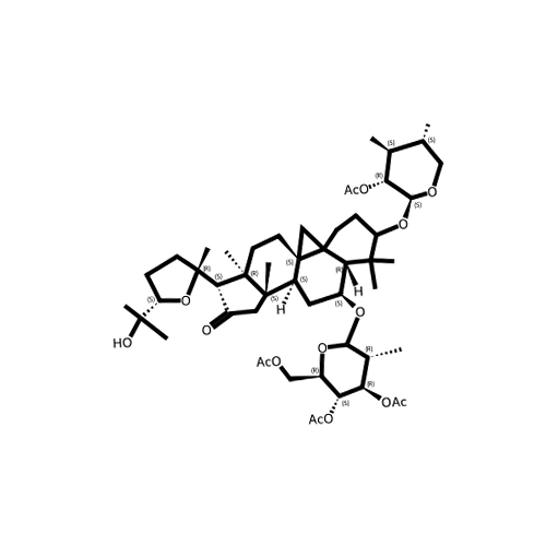 CC(=O)OC[C@H]1OC(O[C@H]2C[C@@H]3[C@]4(CC[C@]5(C)[C@@H]([C@@]6(C)CC[C@@H](C(C)(C)O)O6)C(=O)C[C@@]35C)CC43CCC(O[C@@H]4OC[C@@H](C)[C@H](C)[C@H]4OC(C)=O)C(C)(C)[C@H]23)[C@H](C)[C@@H](OC(C)=O)[C@@H]1OC(C)=O